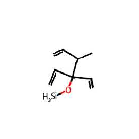 C=CC(C)C(C=C)(C=C)O[SiH3]